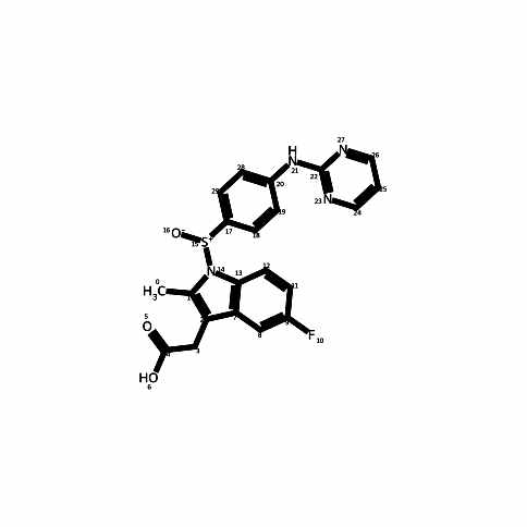 Cc1c(CC(=O)O)c2cc(F)ccc2n1[S+]([O-])c1ccc(Nc2ncccn2)cc1